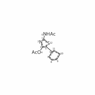 CC(=O)Nc1nc(OC(C)=O)c(-c2ccccc2)s1